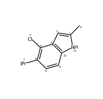 Cc1cc2c(Cl)c(C(C)C)ccc2[nH]1